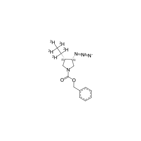 [2H]C([2H])([2H])C([2H])([2H])[C@H]1CN(C(=O)OCc2ccccc2)C[C@H]1N=[N+]=[N-]